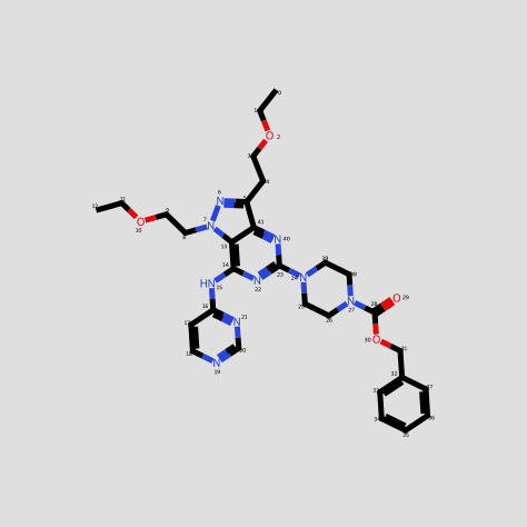 CCOCCc1nn(CCOCC)c2c(Nc3ccncn3)nc(N3CCN(C(=O)OCc4ccccc4)CC3)nc12